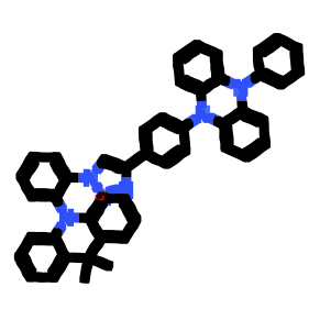 CC1(C)c2ccccc2N(c2ccccc2-n2cc(-c3ccc(N4c5ccccc5N(c5ccccc5)c5ccccc54)cc3)nn2)c2ccccc21